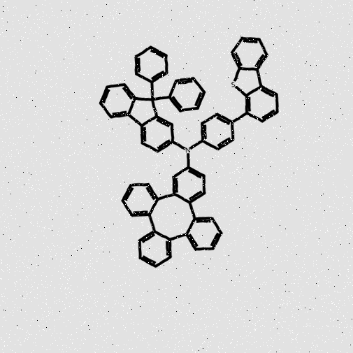 c1ccc(C2(c3ccccc3)c3ccccc3-c3ccc(N(c4ccc(-c5cccc6c5sc5ccccc56)cc4)c4ccc5c(c4)-c4ccccc4-c4ccccc4-c4ccccc4-5)cc32)cc1